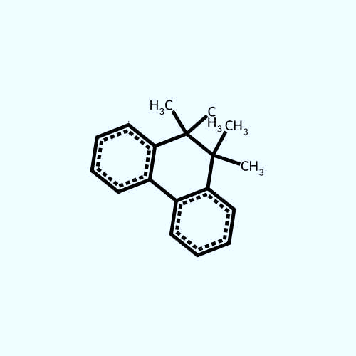 CC1(C)c2[c]cccc2-c2ccccc2C1(C)C